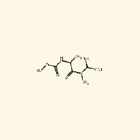 CC(NC(=O)OC(C)(C)C)C(=O)N(C)C(N)C(=O)O